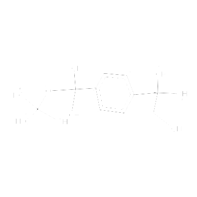 CCC(C)(O)c1ccc(C(C)(C)OC(C)(C)C)cc1